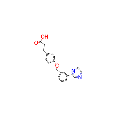 O=C(O)CCc1ccc(OCc2cccc(-c3cnccn3)c2)cc1